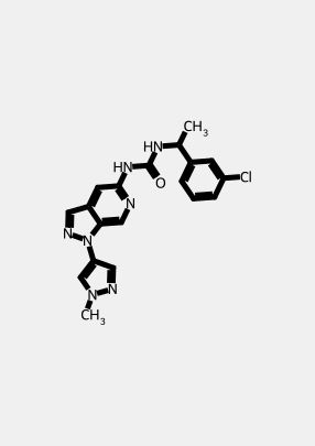 CC(NC(=O)Nc1cc2cnn(-c3cnn(C)c3)c2cn1)c1cccc(Cl)c1